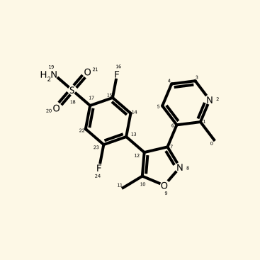 Cc1ncccc1-c1noc(C)c1-c1cc(F)c(S(N)(=O)=O)cc1F